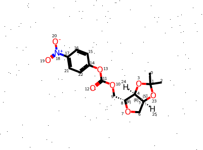 CC1(C)O[C@H]2[C@H](CO[C@@H]2COC(=O)Oc2ccc([N+](=O)[O-])cc2)O1